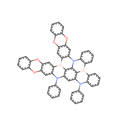 c1ccc(N2c3ccccc3B3c4ccccc4N4c5cc6c(cc5B5c7cc8c(cc7N(c7ccccc7)c7cc2c3c4c75)Oc2ccccc2O8)Oc2ccccc2O6)cc1